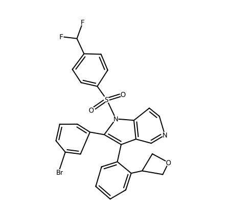 O=S(=O)(c1ccc(C(F)F)cc1)n1c(-c2cccc(Br)c2)c(-c2ccccc2C2COC2)c2cnccc21